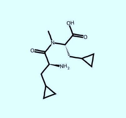 CN(C(=O)[C@@H](N)CC1CC1)[C@@H](CC1CC1)C(=O)O